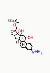 C[C@@H]1C[C@H]2[C@@H]3CCC4=C/C(=N/N)C=C[C@]4(C)[C@@]3(F)[C@@H](O)CC2(C)[C@@]1(O)C(=O)CO[Si](C)(C)C(C)(C)C